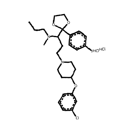 CCCN(C)C(CCN1CCC(Oc2cccc(Cl)c2)CC1)C1(c2ccc(F)cc2)OCCO1.Cl.Cl